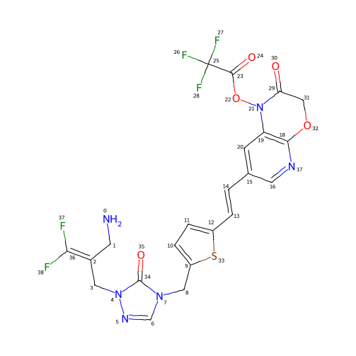 NCC(Cn1ncn(Cc2ccc(/C=C/c3cnc4c(c3)N(OC(=O)C(F)(F)F)C(=O)CO4)s2)c1=O)=C(F)F